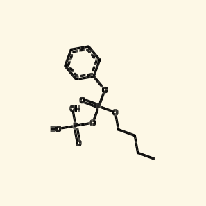 CCCCOP(=O)(Oc1ccccc1)OP(=O)(O)O